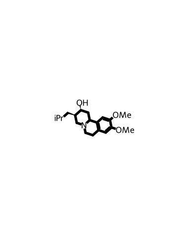 COc1cc2c(cc1OC)C1C[C@@H](O)[C@H](CC(C)C)CN1CC2